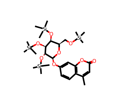 Cc1cc(=O)oc2cc(O[C@@H]3O[C@H](CO[Si](C)(C)C)[C@H](O[Si](C)(C)C)[C@H](O[Si](C)(C)C)[C@H]3O[Si](C)(C)C)ccc12